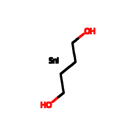 OCCCCO.[Sn]